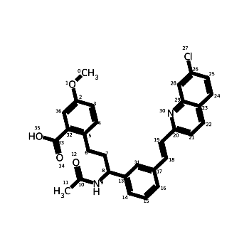 COc1ccc(CCC(NC(C)=O)c2cccc(/C=C/c3ccc4ccc(Cl)cc4n3)c2)c(C(=O)O)c1